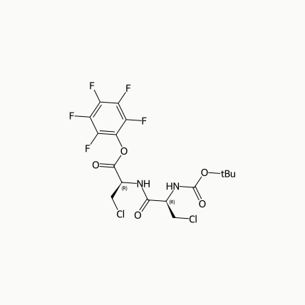 CC(C)(C)OC(=O)N[C@@H](CCl)C(=O)N[C@@H](CCl)C(=O)Oc1c(F)c(F)c(F)c(F)c1F